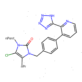 CCCCCn1c(Cl)c(CCC)n(Cc2ccc(-c3cccnc3-c3nnn[nH]3)cc2)c1=O